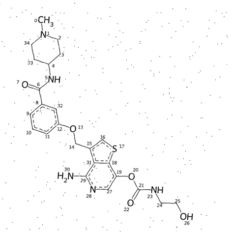 CN1CCC(NC(=O)c2cccc(OCc3csc4c(OC(=O)NCCO)cnc(N)c34)c2)CC1